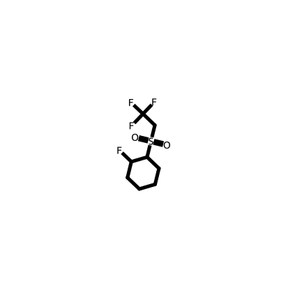 O=S(=O)(CC(F)(F)F)C1CCCCC1F